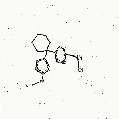 N#CNc1ccc(C2(c3ccc(NC#N)cc3)CCCCC2)cc1